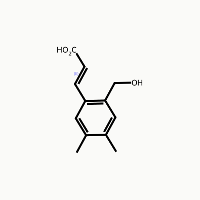 Cc1cc(/C=C/C(=O)O)c(CO)cc1C